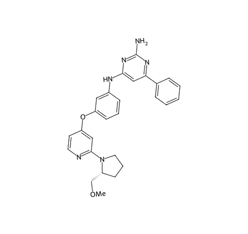 COC[C@H]1CCCN1c1cc(Oc2cccc(Nc3cc(-c4ccccc4)nc(N)n3)c2)ccn1